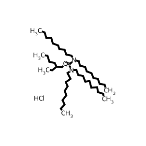 CCCCCCCCCC[N](CCCCCCCCCC)[Ti]([O]CC(CC)CCCC)[N](CCCCCCCCCC)CCCCCCCCCC.Cl